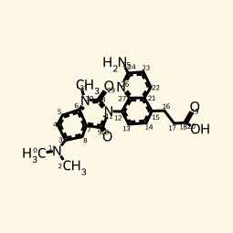 CN(C)c1ccc2c(c1)c(=O)n(-c1ccc(CCC(=O)O)c3ccc(N)nc13)c(=O)n2C